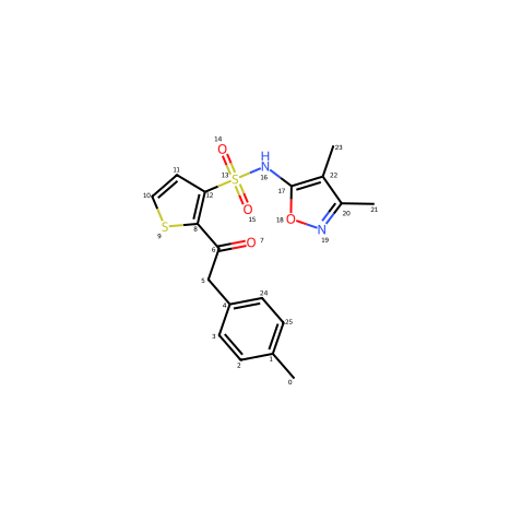 Cc1ccc(CC(=O)c2sccc2S(=O)(=O)Nc2onc(C)c2C)cc1